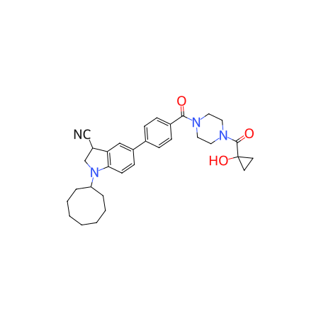 N#CC1CN(C2CCCCCCC2)c2ccc(-c3ccc(C(=O)N4CCN(C(=O)C5(O)CC5)CC4)cc3)cc21